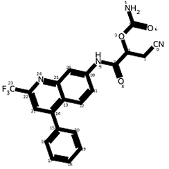 N#CCC(OC(N)=O)C(=O)Nc1ccc2c(-c3ccccc3)cc(C(F)(F)F)nc2c1